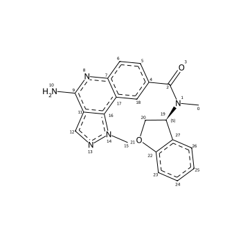 CN(C(=O)c1ccc2nc(N)c3cnn(C)c3c2c1)[C@@H]1COc2ccccc21